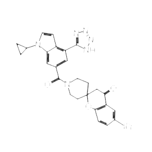 CC(C)c1ccc2c(c1)C(=O)CC1(CCN(C(=O)c3cc(-c4nnn[nH]4)c4ccn(C5CC5)c4c3)CC1)O2